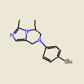 Cc1ncc2n1C(C)CN(c1ccc(C(C)(C)C)cc1)C2